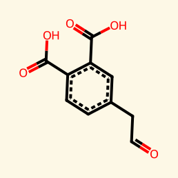 O=CCc1ccc(C(=O)O)c(C(=O)O)c1